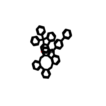 c1ccc(-c2ccc(N(c3cccc4c3-c3ccccc3Cc3ccccc3-c3ccccc3C4)c3cccc4c3-c3ccccc3C4(c3ccccc3)c3ccccc3)cc2)cc1